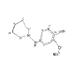 CCOc1cc(NN2CCCCC2)cnc1Br